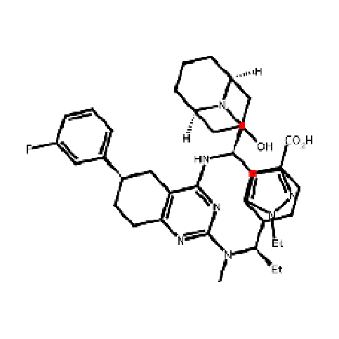 CC[C@H](C1CCC(C(=O)O)CC1)N(C)c1nc2c(c(N[C@@H](CN3[C@@H]4CCC[C@H]3CC(O)C4)c3cnn(CC)c3)n1)C[C@H](c1cccc(F)c1)CC2